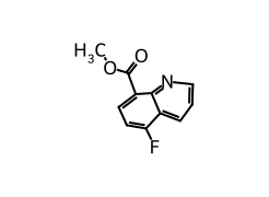 COC(=O)c1ccc(F)c2cccnc12